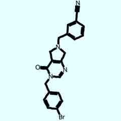 N#Cc1cccc(CN2Cc3ncn(Cc4ccc(Br)cc4)c(=O)c3C2)c1